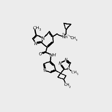 Cc1cnc2c(C(=O)Nc3cncc(C4(c5nncn5C)CC(C)C4)c3)cc(CN[C@@H](C)C3CC3)cn12